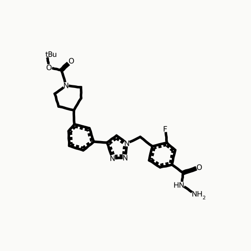 CC(C)(C)OC(=O)N1CCC(c2cccc(-c3cn(Cc4ccc(C(=O)NN)cc4F)nn3)c2)CC1